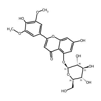 COc1cc(-c2cc(=O)c3c(O[C@@H]4O[C@H](CO)[C@@H](O)[C@H](O)[C@H]4O)cc(O)cc3o2)cc(OC)c1O